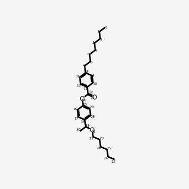 CCCCCCCCc1ccc(C(=O)Oc2ccc(C(C)OCCCCCC)cc2)cc1